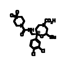 CC(C)(C)C1CN(C(=O)O)CC[C@@](CNC(=O)N2CCS(=O)(=O)CC2)(c2ccc(Cl)c(Cl)c2)O1